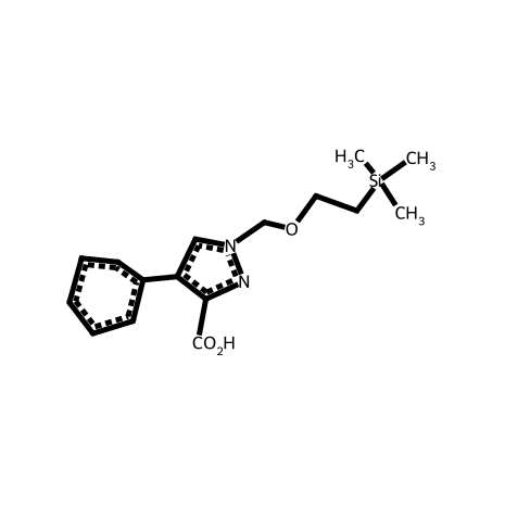 C[Si](C)(C)CCOCn1cc(-c2ccccc2)c(C(=O)O)n1